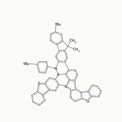 CC(C)(C)c1ccc(N2B3c4cc5sc6ccccc6c5cc4-n4c5ccc6oc7ccccc7c6c5c5ccc(c3c54)-c3cc4c(cc32)-c2ccc(C(C)(C)C)cc2C4(C)C)cc1